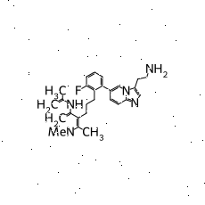 C=C(C)NC(=C)/C(CCCc1c(F)cccc1-c1ccc2ncc(CCN)n2c1)=C(/C)NC